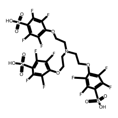 O=S(=O)(O)c1c(F)c(F)c(OCCN(CCOc2c(F)c(F)c(S(=O)(=O)O)c(F)c2F)CCOc2c(F)c(F)c(S(=O)(=O)O)c(F)c2F)c(F)c1F